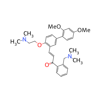 COc1ccc(-c2ccc(OCCN(C)C)c(C=CC(=O)c3ccccc3CN(C)C)c2)c(OC)c1